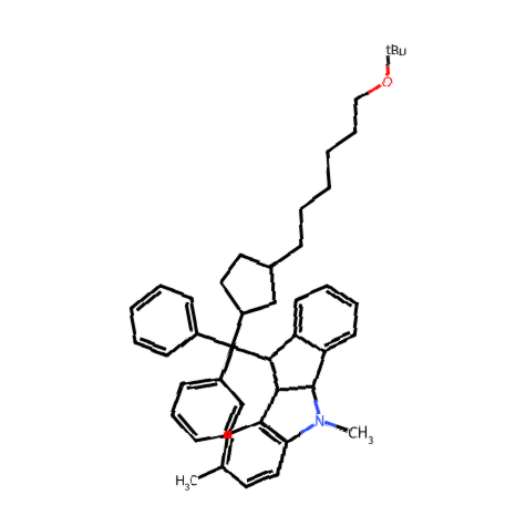 Cc1ccc2c(c1)C1C(c3ccccc3C1C(c1ccccc1)(c1ccccc1)C1CCC(CCCCCCOC(C)(C)C)C1)N2C